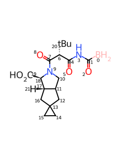 BC(=O)NC(=O)[C@H](C(=O)N1CC2CC3(CC3)C[C@@H]2[C@H]1C(=O)O)C(C)(C)C